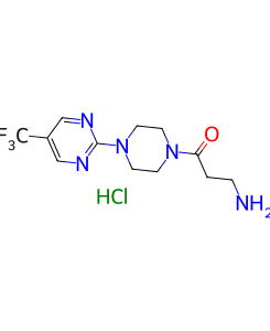 Cl.NCCC(=O)N1CCN(c2ncc(C(F)(F)F)cn2)CC1